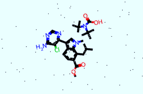 CC(C)(C)N(C(=O)O)C(C)(C)C.COC(=O)c1ccc2c(-c3ncnc(N)c3Cl)cn(C)c2c1CC(C)C